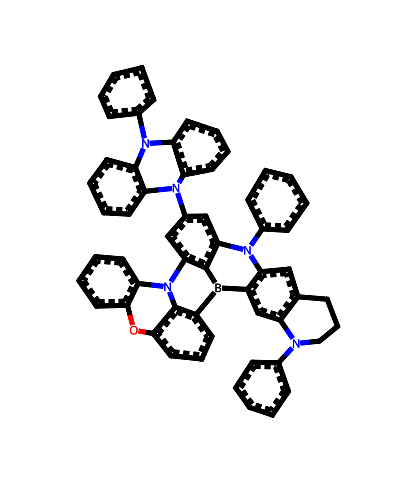 c1ccc(N2CCCc3cc4c(cc32)B2c3cccc5c3N(c3ccccc3O5)c3cc(N5c6ccccc6N(c6ccccc6)c6ccccc65)cc(c32)N4c2ccccc2)cc1